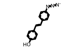 [N-]=[N+]=Nc1ccc(C=Cc2ccc(O)cc2)cc1